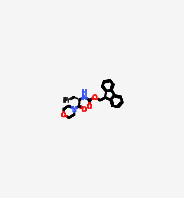 CC(C)C[C@H](NC(=O)OCC1c2ccccc2-c2ccccc21)C(=O)N1CCOCC1